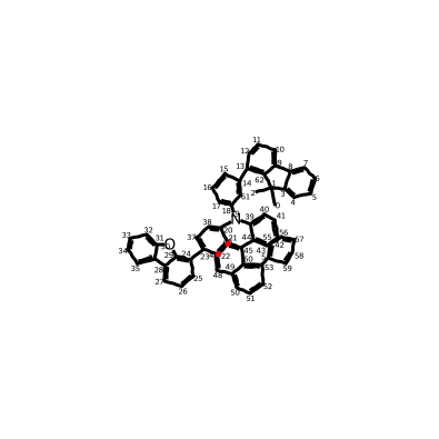 CC1(C)c2ccccc2-c2cccc(-c3cccc(N(c4ccc(-c5cccc6c5oc5ccccc56)cc4)c4ccccc4-c4cccc5cccc(-c6ccccc6)c45)c3)c21